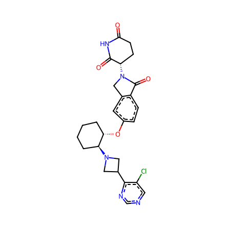 O=C1CC[C@H](N2Cc3cc(O[C@H]4CCCC[C@@H]4N4CC(c5ncncc5Cl)C4)ccc3C2=O)C(=O)N1